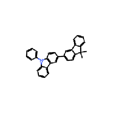 CC1(C)c2ccccc2-c2cc(-c3c[c]c4c(c3)c3ccccc3n4-c3ccccc3)ccc21